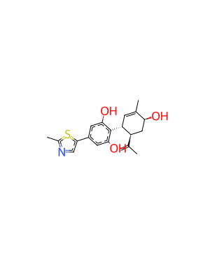 C=C(C)[C@@H]1C[C@H](O)C(C)=C[C@H]1c1c(O)cc(-c2cnc(C)s2)cc1O